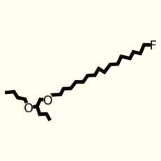 CCCCOC(CCC)COCCCCCCCCCCCCCCCCCF